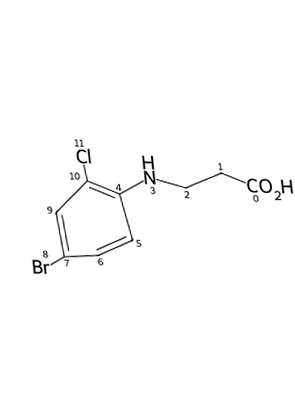 O=C(O)CCNc1ccc(Br)cc1Cl